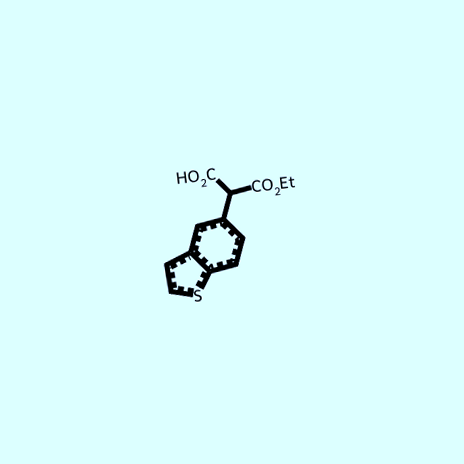 CCOC(=O)C(C(=O)O)c1ccc2sccc2c1